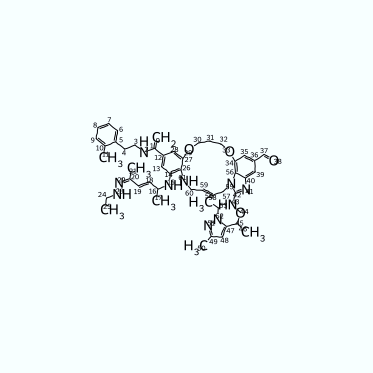 C=C(NCCc1ccccc1C)c1cc(NC(C)/C=C/C(C)=N\NCC)c2c(c1)OCCCOc1cc(C=O)cc3nc(NOC(C)c4cc(C)nn4CC)n(c13)C/C=C/CN2